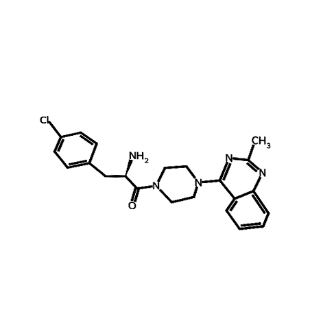 Cc1nc(N2CCN(C(=O)[C@H](N)Cc3ccc(Cl)cc3)CC2)c2ccccc2n1